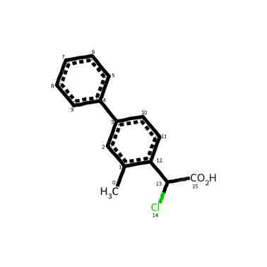 Cc1cc(-c2ccccc2)ccc1C(Cl)C(=O)O